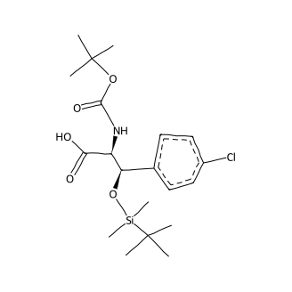 CC(C)(C)OC(=O)N[C@H](C(=O)O)[C@H](O[Si](C)(C)C(C)(C)C)c1ccc(Cl)cc1